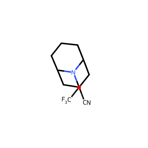 N#CC1CC2CCCC(C1)N2CC(F)(F)F